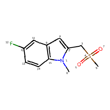 Cn1c(CS(C)(=O)=O)cc2cc(F)ccc21